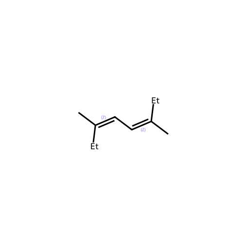 CC/C(C)=C\C=C(\C)CC